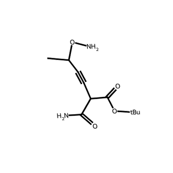 CC(C#CC(C(N)=O)C(=O)OC(C)(C)C)ON